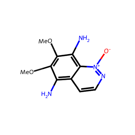 COc1c(OC)c(N)c2c(ccn[n+]2[O-])c1N